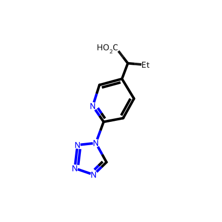 CCC(C(=O)O)c1ccc(-n2cnnn2)nc1